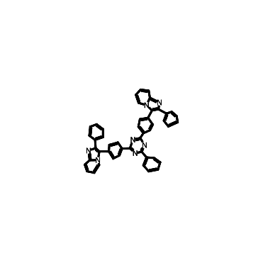 c1ccc(-c2nc(-c3ccc(-c4c(-c5ccccc5)nc5ccccn45)cc3)nc(-c3ccc(-c4c(-c5ccccc5)nc5ccccn45)cc3)n2)cc1